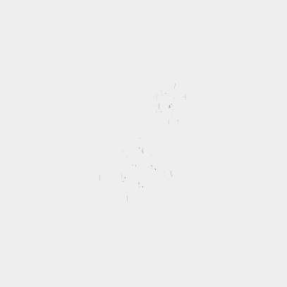 [2H]c1nc2c(c(=O)n(CCCC([2H])([2H])[C@]([2H])(O)C([2H])([2H])[2H])c(=O)n2C)n1C